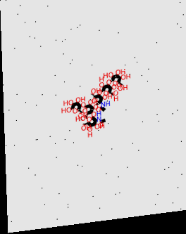 CC(=O)N[C@H]1[C@H](O[C@@H]2[C@@H](O)[C@H](O[C@H]3[C@H](O)[C@@H](O)[C@H](O)O[C@@H]3CO)O[C@H](CO)[C@@H]2O[C@@H]2O[C@H](CO)[C@H](O)[C@H](O)[C@H]2NC(C)=O)O[C@H](CO)[C@@H](O[C@@H]2O[C@H](CO)[C@H](O)[C@H](O[C@H]3O[C@H](CO)[C@H](O)[C@H](O)[C@H]3O)[C@H]2O)[C@@H]1O